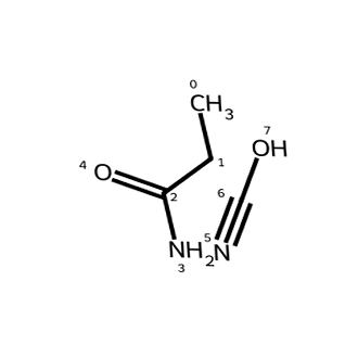 CCC(N)=O.N#CO